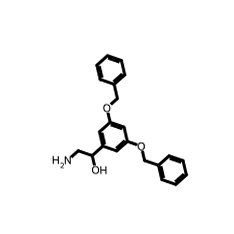 NCC(O)c1cc(OCc2ccccc2)cc(OCc2ccccc2)c1